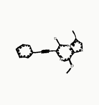 COc1nc(C#Cc2ccccc2)c(Cl)n2c(C)cnc12